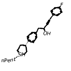 CCCCC[Si@H]1CC[C@H](c2ccc(CC(O)C#Cc3ccc(F)cc3)cc2)CC1